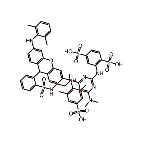 Cc1cccc(C)c1Nc1ccc2c(c1)Oc1cc(Nc3c(C)cc(S(=O)(=O)O)cc3C)ccc1C2c1ccccc1S(=O)(=O)NCCNc1nc(Nc2cc(S(=O)(=O)O)ccc2S(=O)(=O)O)nc(N(C)C)n1